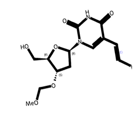 COCO[C@H]1C[C@H](n2cc(/C=C/Br)c(=O)[nH]c2=O)O[C@@H]1CO